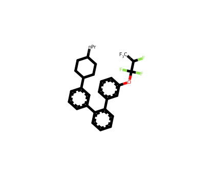 CCCC1CCC(c2cccc(-c3ccccc3-c3cccc(OC(F)(F)C(F)C(F)(F)F)c3)c2)CC1